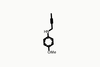 CC#CCNc1ccc(OC)cc1